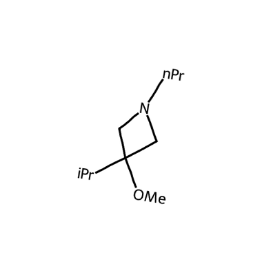 CCCN1CC(OC)(C(C)C)C1